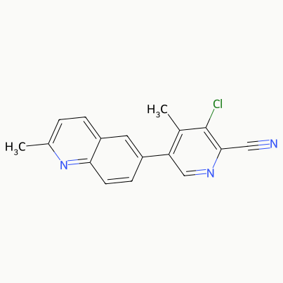 Cc1ccc2cc(-c3cnc(C#N)c(Cl)c3C)ccc2n1